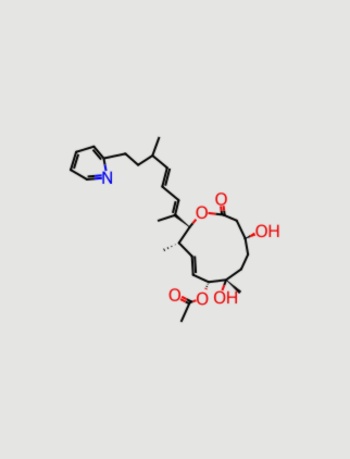 CC(=O)O[C@@H]1/C=C/[C@H](C)[C@@H](/C(C)=C/C=C/C(C)CCc2ccccn2)OC(=O)C[C@@H](O)CC[C@]1(C)O